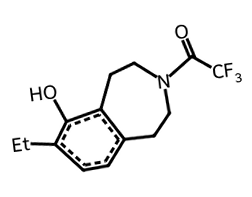 CCc1ccc2c(c1O)CCN(C(=O)C(F)(F)F)CC2